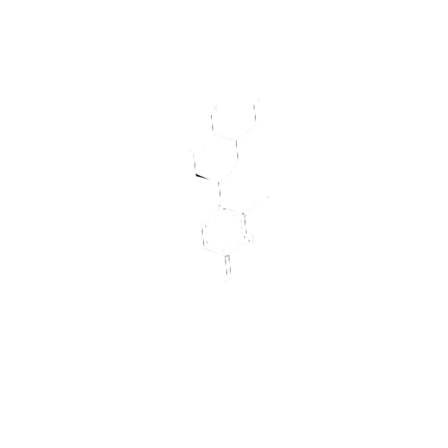 O=c1ccn([C@@H](CO)OC(CO)CO)c(=O)[nH]1